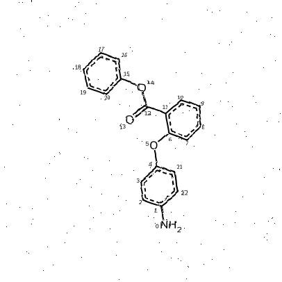 Nc1ccc(Oc2ccccc2C(=O)Oc2ccccc2)cc1